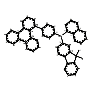 CC1(C)c2ccccc2-c2ccc(N(c3ccc(-c4cccc5c6ccccc6c6ccccc6c45)cc3)c3cccc4ccccc34)cc21